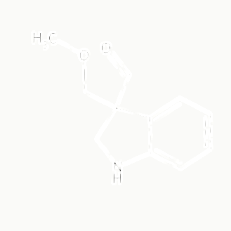 COCC1(C=O)CNc2ccccc21